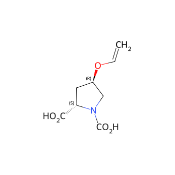 C=CO[C@@H]1C[C@@H](C(=O)O)N(C(=O)O)C1